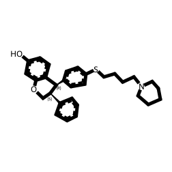 Oc1ccc2c(c1)OC[C@H](c1ccccc1)[C@@H]2c1ccc(SCCCCN2CCCCC2)cc1